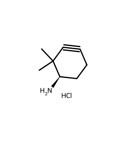 CC1(C)C#CCC[C@H]1N.Cl